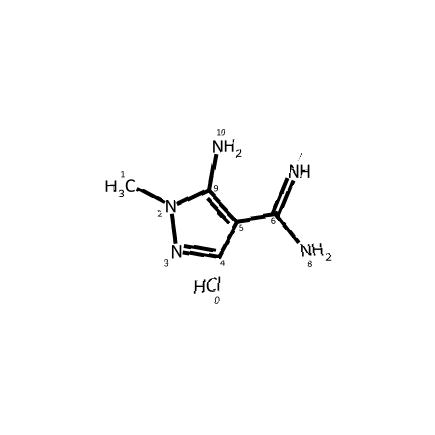 Cl.Cn1ncc(C(=N)N)c1N